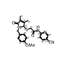 COc1ccc(CN2C(=O)C(C)=C(C)C2SCC(=O)Nc2ccc(C#N)cn2)cc1